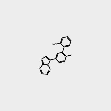 N#Cc1ccccc1-c1cc(-c2cnc3nccnn23)ccc1F